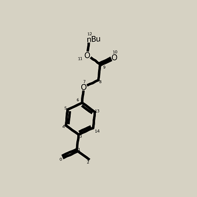 C=C(C)c1ccc(OCC(=O)OCCCC)cc1